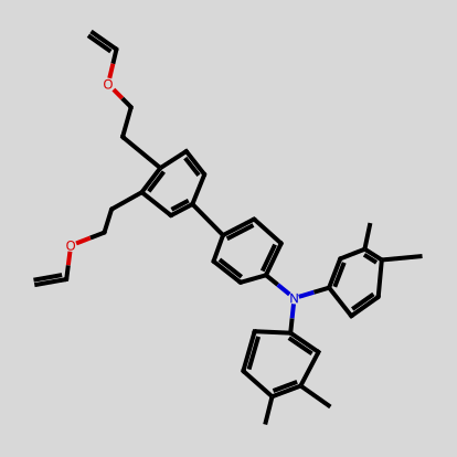 C=COCCc1ccc(-c2ccc(N(c3ccc(C)c(C)c3)c3ccc(C)c(C)c3)cc2)cc1CCOC=C